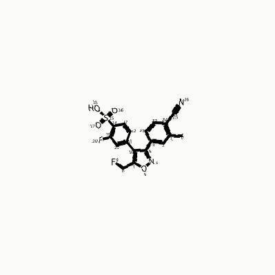 Cc1cc(-c2noc(CF)c2-c2ccc(S(=O)(=O)O)c(F)c2)ccc1C#N